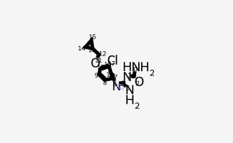 NC(=O)N/C(N)=N\c1ccc(OCC2CC2)c(Cl)c1